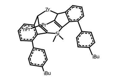 CCCC1=C2c3c(-c4ccc(C(C)CC)cc4)cccc3[CH]1[Zr][CH]1C(CCC)=C(c3c(-c4ccc(C(C)CC)cc4)cccc31)[Si]2(C)C